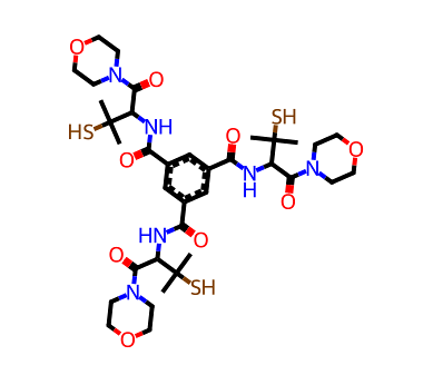 CC(C)(S)C(NC(=O)c1cc(C(=O)NC(C(=O)N2CCOCC2)C(C)(C)S)cc(C(=O)NC(C(=O)N2CCOCC2)C(C)(C)S)c1)C(=O)N1CCOCC1